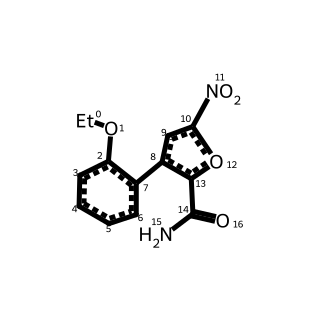 CCOc1ccccc1-c1cc([N+](=O)[O-])oc1C(N)=O